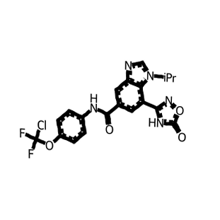 CC(C)n1cnc2cc(C(=O)Nc3ccc(OC(F)(F)Cl)cc3)cc(-c3noc(=O)[nH]3)c21